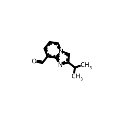 CC(C)c1cn2cccc(C=O)c2n1